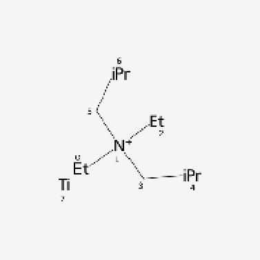 CC[N+](CC)(CC(C)C)CC(C)C.[Ti]